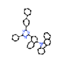 c1ccc(-c2ccc(-c3nc(-c4ccccc4)nc(-c4ccc(-n5c6ccccc6c6ccc7ccccc7c65)c5ccccc45)n3)cc2)cc1